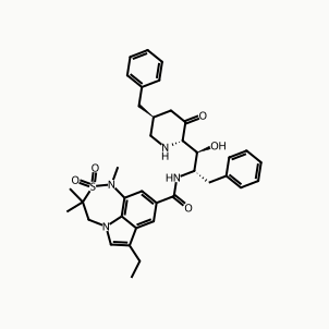 CCc1cn2c3c(cc(C(=O)N[C@@H](Cc4ccccc4)[C@H](O)[C@@H]4NC[C@@H](Cc5ccccc5)CC4=O)cc13)N(C)S(=O)(=O)C(C)(C)C2